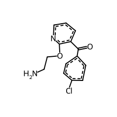 NCCOc1ncccc1C(=O)c1ccc(Cl)cc1